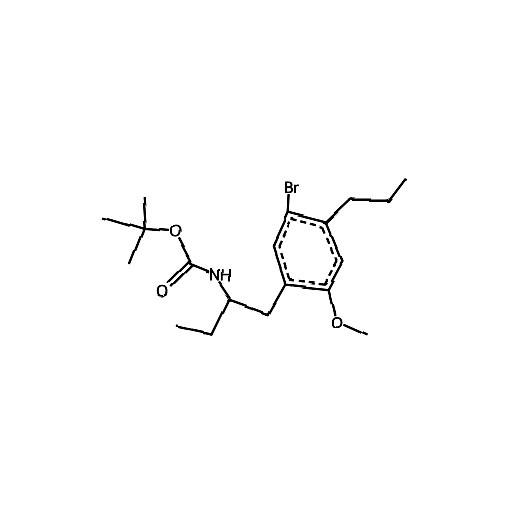 CCCc1cc(OC)c(CC(CC)NC(=O)OC(C)(C)C)cc1Br